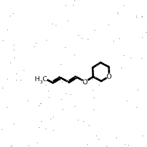 CC=CC=COC1CCCOC1